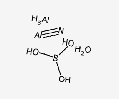 O.OB(O)O.[AlH3].[N]#[Al]